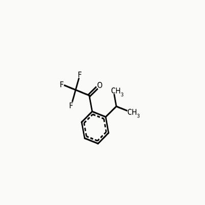 CC(C)c1ccccc1C(=O)C(F)(F)F